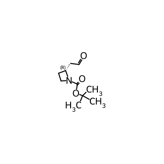 CC(C)(C)OC(=O)N1CC[C@@H]1CC=O